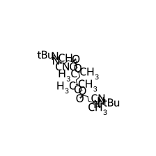 CC(C)(C)N=NC(C)(C#N)CCC(=O)OOC(C)(C)CCC(C)(C)OOC(=O)CCC(C)(C#N)N=NC(C)(C)C